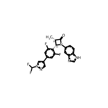 C[C@@H]1C(=O)N(c2ccc3[nH]cnc3c2)[C@@H]1c1c(F)cc(-c2cnn(C(F)F)c2)cc1F